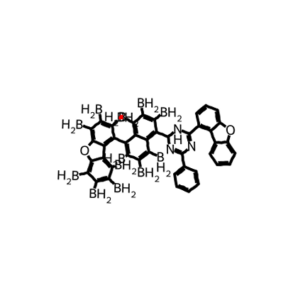 Bc1c(B)c(B)c2c(oc3c(B)c(B)c(B)c(-c4c(B)c(B)c(B)c5c(C6N=C(c7ccccc7)N=C(c7cccc8oc9ccccc9c78)N6)c(B)c(B)c(B)c45)c32)c1B